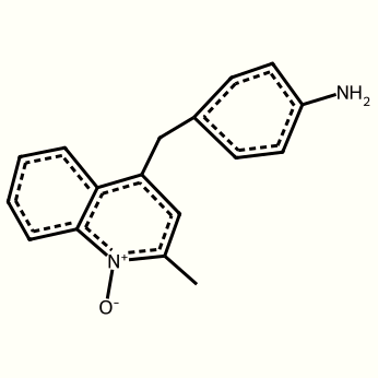 Cc1cc(Cc2ccc(N)cc2)c2ccccc2[n+]1[O-]